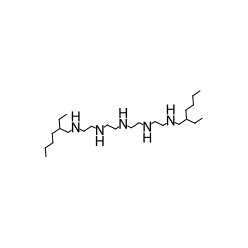 CCCCC(CC)CNCCNCCNCCNCCNCC(CC)CCCC